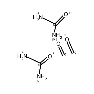 C=O.C=O.NC(N)=O.NC(N)=O